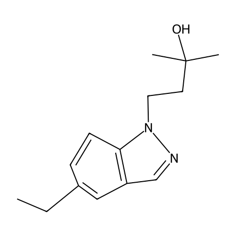 CCc1ccc2c(cnn2CCC(C)(C)O)c1